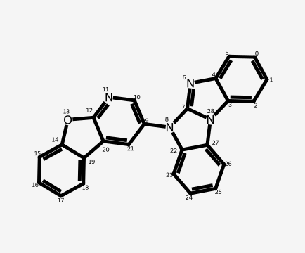 c1ccc2c(c1)nc1n(-c3cnc4oc5ccccc5c4c3)c3ccccc3n21